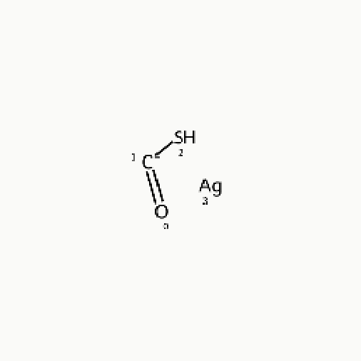 O=[C-]S.[Ag+]